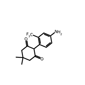 CC1(C)CC(=O)C(c2ccc(N)cc2C(F)(F)F)C(=O)C1